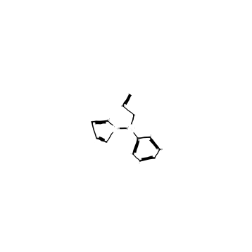 C=CCN(c1ccccc1)n1cccc1